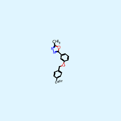 COc1ccc(COc2cccc(-c3nnc(C)o3)c2)cc1